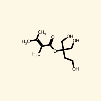 CC(C)=C(C)C(=O)OC(CO)(CO)CCO